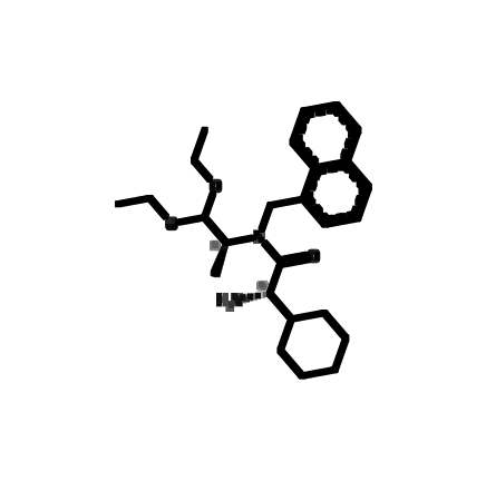 CCOC(OCC)[C@H](C)N(Cc1cccc2ccccc12)C(=O)[C@@H](N)C1CCCCC1